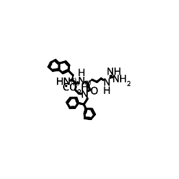 N=C(N)NCCC[C@@H]1N[C@H]([C@H](Cc2ccc3ccccc3c2)NC(=O)O)CCN(CC(c2ccccc2)c2ccccc2)C1=O